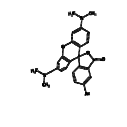 CC(=O)c1ccc2c(c1)C(=O)OC21c2ccc(N(C)C)cc2Oc2cc(N(C)C)ccc21